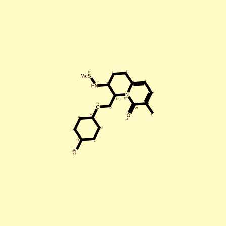 CSNC1CCc2ccc(C)c(=O)n2C1COC1CCC(C(C)C)CC1